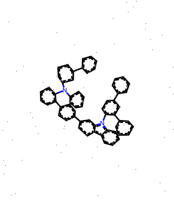 c1ccc(-c2cccc(N(c3ccccc3)c3ccccc3-c3ccc(-c4ccc5c6ccccc6n(-c6ccc(-c7ccccc7)cc6-c6ccccc6)c5c4)cc3)c2)cc1